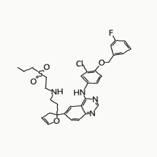 CCCS(=O)(=O)CCNCCC1(c2ccc3ncnc(Nc4ccc(OCc5cccc(F)c5)c(Cl)c4)c3c2)CC=CO1